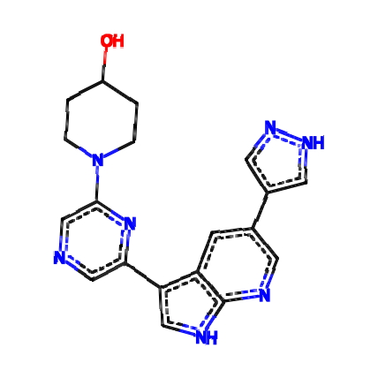 OC1CCN(c2cncc(-c3c[nH]c4ncc(-c5cn[nH]c5)cc34)n2)CC1